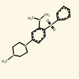 CN1CCN(c2ccc(S(=O)(=O)c3ccccc3)c(N(C)C)c2)CC1